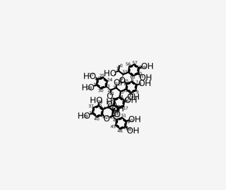 CC(O)[C@@H](Oc1cc(O)cc(O)c1C1c2c(O)cc3c(c2O[C@@H](c2ccc(O)c(O)c2)C1O)[C@H]1c2c(O)cc(O)cc2O[C@@](c2ccc(O)c(O)c2)(O3)[C@@H]1O)c1ccc(O)c(O)c1